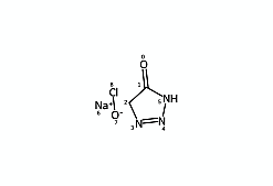 O=C1CN=NN1.[Na+].[O-]Cl